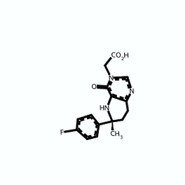 C[C@]1(c2ccc(F)cc2)CCc2ncn(CC(=O)O)c(=O)c2N1